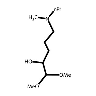 CCCN(C)CCCC(O)C(OC)OC